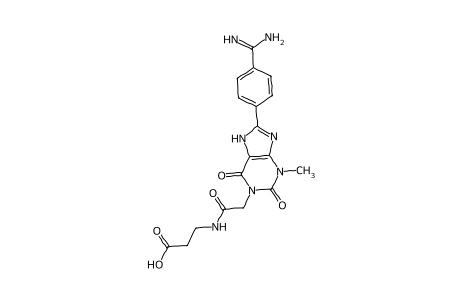 Cn1c(=O)n(CC(=O)NCCC(=O)O)c(=O)c2[nH]c(-c3ccc(C(=N)N)cc3)nc21